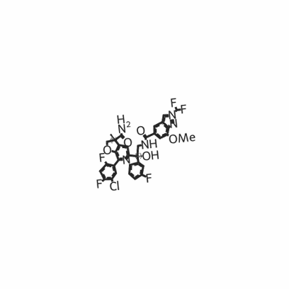 COc1cc(C(=O)NC[C@@](O)(c2cccc(F)c2)c2cc3c(c(-c4cc(Cl)c(F)cc4F)n2)OC[C@]3(C)C(N)=O)cc2cn(C(F)F)nc12